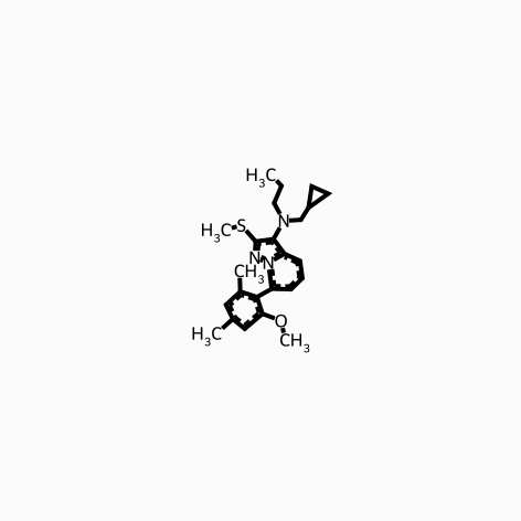 CCCN(CC1CC1)c1c(SC)nn2c(-c3c(C)cc(C)cc3OC)cccc12